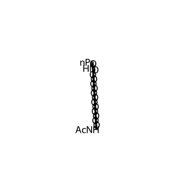 CCCOCCNC(=O)CCOCCOCCOCCOCCOCCOCCOCCOCCOCCOCCOCCOCCNC(C)=O